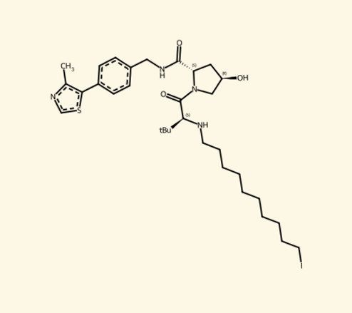 Cc1ncsc1-c1ccc(CNC(=O)[C@@H]2C[C@@H](O)CN2C(=O)[C@@H](NCCCCCCCCCCI)C(C)(C)C)cc1